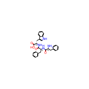 N[C@@H](Cc1ccccc1)C(=O)N[C@@H](Cc1ccccc1)C(=O)N[C@@H](Cc1c[nH]c2ccccc12)C(=O)O